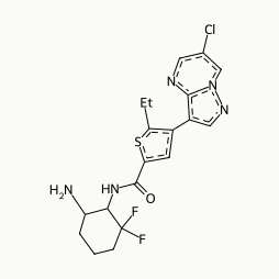 CCc1sc(C(=O)NC2C(N)CCCC2(F)F)cc1-c1cnn2cc(Cl)cnc12